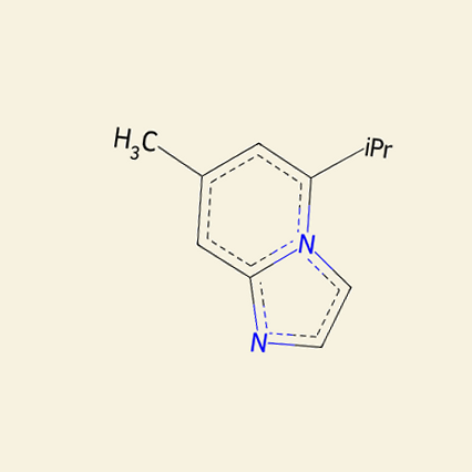 Cc1cc(C(C)C)n2ccnc2c1